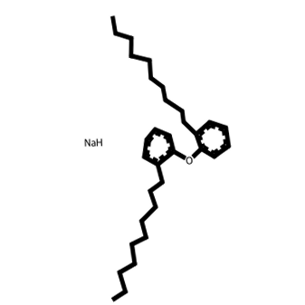 CCCCCCCCCCc1ccccc1Oc1ccccc1CCCCCCCCCC.[NaH]